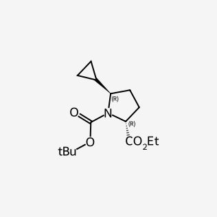 CCOC(=O)[C@H]1CC[C@H](C2CC2)N1C(=O)OC(C)(C)C